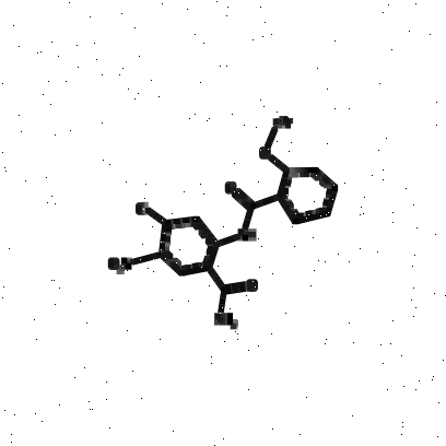 CCCOc1ccccc1C(=O)Nc1cc(Cl)c([N+](=O)[O-])cc1C(N)=O